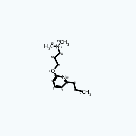 CCCc1cccc(OCCCN(C)C)n1